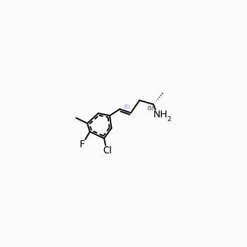 Cc1cc(/C=C/C[C@H](C)N)cc(Cl)c1F